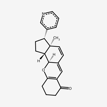 C[C@]12C=CC3=CC4=C(CCCC4=O)O[C@H]3[C@@H]1CC[C@@H]2c1cccnc1